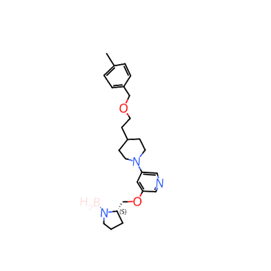 BN1CCC[C@H]1COc1cncc(N2CCC(CCOCc3ccc(C)cc3)CC2)c1